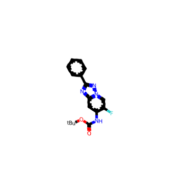 CC(C)(C)OC(=O)Nc1cc2nc(-c3ccccc3)nn2cc1F